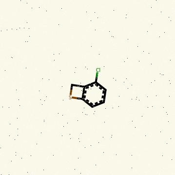 Clc1cccc2c1CS2